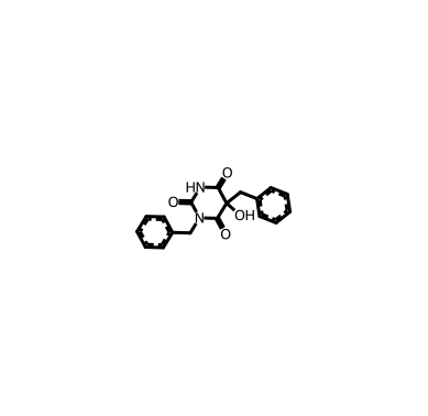 O=C1NC(=O)C(O)(Cc2ccccc2)C(=O)N1Cc1ccccc1